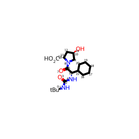 CC(C)(C)NC(=O)N[C@H](C(=O)N1C[C@H](O)C[C@H]1C(=O)O)C1CCCCC1